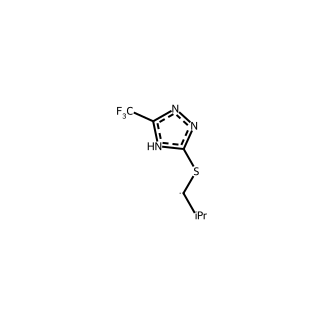 CC(C)[CH]Sc1nnc(C(F)(F)F)[nH]1